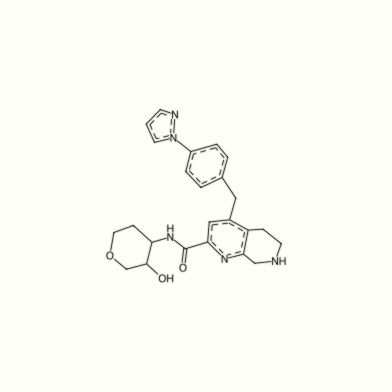 O=C(NC1CCOCC1O)c1cc(Cc2ccc(-n3cccn3)cc2)c2c(n1)CNCC2